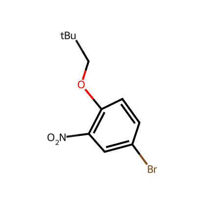 CC(C)(C)COc1ccc(Br)cc1[N+](=O)[O-]